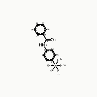 O=C(Nc1ccc(S(F)(F)(F)(F)F)cc1)c1ccccc1